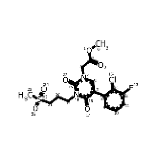 COC(=O)Cn1cc(-c2cccc(F)c2Cl)c(=O)n(CCCS(C)(=O)=O)c1=O